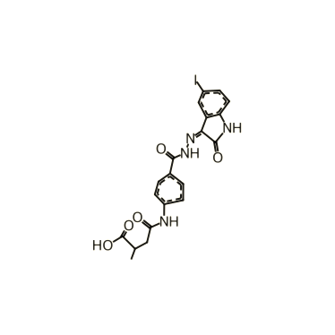 CC(CC(=O)Nc1ccc(C(=O)NN=C2C(=O)Nc3ccc(I)cc32)cc1)C(=O)O